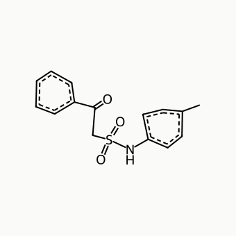 Cc1ccc(NS(=O)(=O)CC(=O)c2ccccc2)cc1